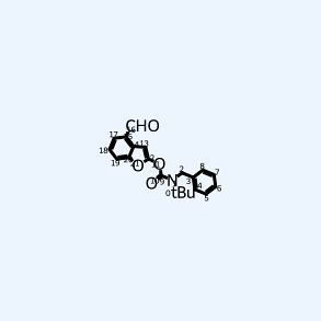 CC(C)(C)N(Cc1ccccc1)C(=O)Oc1cc2c(C=O)cccc2o1